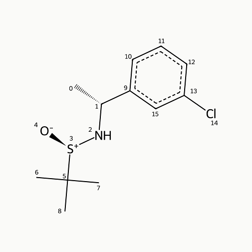 C[C@@H](N[S@+]([O-])C(C)(C)C)c1cccc(Cl)c1